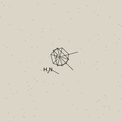 CN.C[C]12[CH]3[CH]4[CH]5[C]1(C)[Fe]43521678[CH]2[CH]1[CH]6[CH]7[CH]28